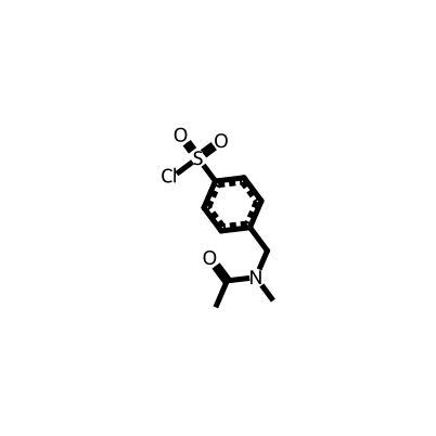 CC(=O)N(C)Cc1ccc(S(=O)(=O)Cl)cc1